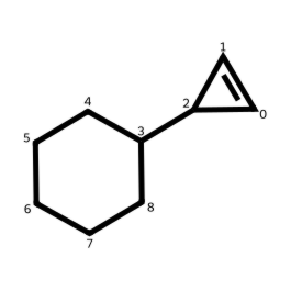 C1=CC1C1CCCCC1